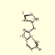 Fc1ccc2onc(CC3=NCCN3)c2c1